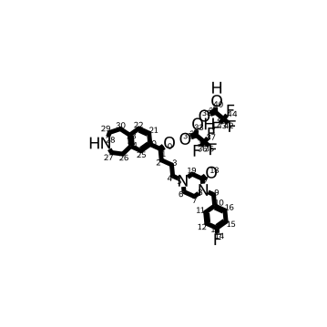 O=C(CCCN1CCN(Cc2ccc(F)cc2)C(=O)C1)c1ccc2c(c1)CCNCC2.O=C(O)C(F)(F)F.O=C(O)C(F)(F)F